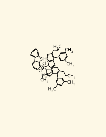 CCCc1ccc2c(c1-c1cc(C)cc(C)c1)C=C(CC)[CH]2[Zr]([Cl])([Cl])([c]1cccc2c1[SiH2]c1ccccc1-2)[CH]1C(CC)=Cc2c1ccc(CCC)c2-c1cc(C)cc(C)c1